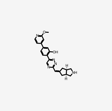 COc1cc(-c2ccc(-c3cnc(/C=C4\C[C@H]5CNC[C@H]5C4)nn3)c(O)c2)ccn1